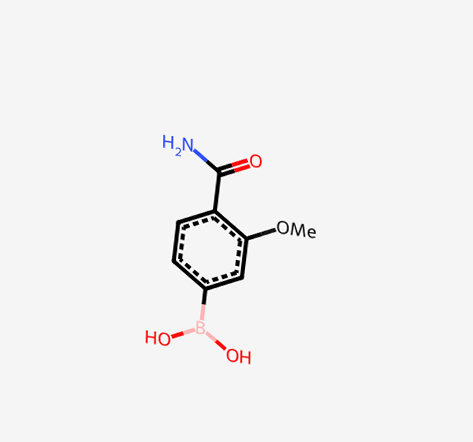 COc1cc(B(O)O)ccc1C(N)=O